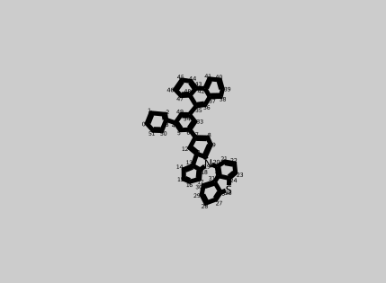 c1ccc(-c2cc(-c3ccc4c(c3)c3ccccc3n4-c3cccc4sc5ccccc5c34)cc(-c3cc4ccccc4c4ccccc34)c2)cc1